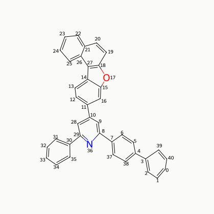 c1ccc(-c2ccc(-c3cc(-c4ccc5c(c4)oc4ccc6ccccc6c45)cc(-c4ccccc4)n3)cc2)cc1